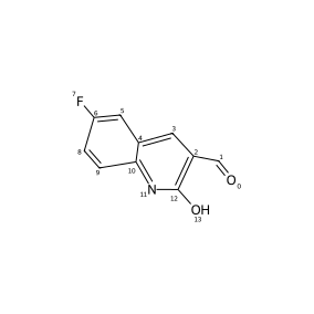 O=Cc1cc2cc(F)ccc2nc1O